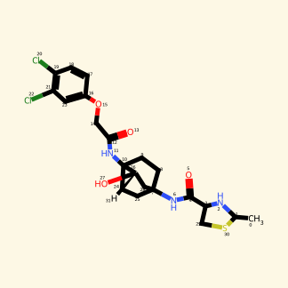 CC1NC(C(=O)NC23CCC(NC(=O)COc4ccc(Cl)c(Cl)c4)(CC2)[C@@H](O)C3)CS1